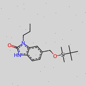 CCCn1c(=O)[nH]c2ccc(CO[Si](C)(C)C(C)(C)C)cc21